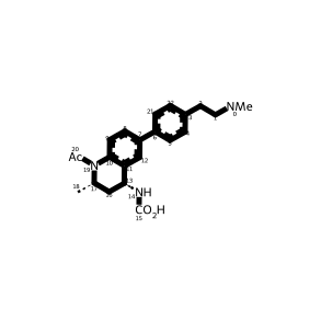 CNCCc1ccc(-c2ccc3c(c2)[C@H](NC(=O)O)C[C@H](C)N3C(C)=O)cc1